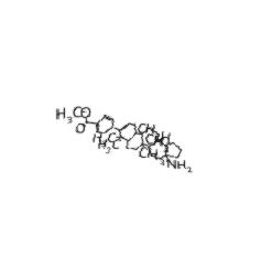 COC(=O)c1ccc(C2=CCC3(C)C(CCC4(C)C3CC[C@@H]3C5CCCC5(N)CC[C@]34C)C2(C)C)cc1